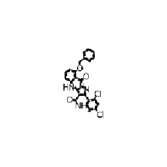 NC(=O)c1c(-c2ccc(Cl)cc2Cl)nn2c(=O)c3c(OCc4ccccc4)cccc3[nH]c12